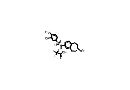 CCCN1CCc2ccc(NS(=O)(=O)c3ccc(C)c(Cl)c3)cc2CC1.O=C(O)C(F)(F)F